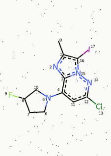 Cc1nc2c(N3CCC(F)C3)cc(Cl)nn2c1I